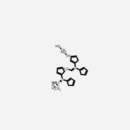 CO.CO.CO.CO.C[CH]=[Ti]([C]1=CC=CC1)[C]1=CC=CC1.[CH2]=[Ti]([C]1=CC=CC1)[C]1=CC=CC1